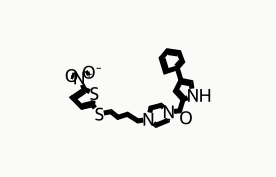 O=C(c1cc(-c2ccccc2)c[nH]1)N1CCN(CCCCSc2ccc([N+](=O)[O-])s2)CC1